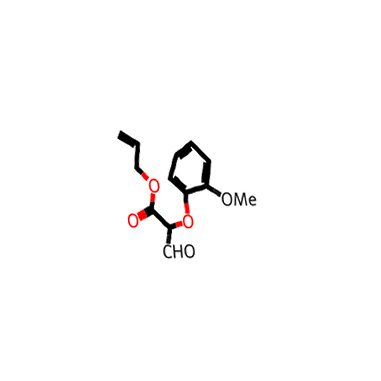 C=CCOC(=O)C(C=O)Oc1ccccc1OC